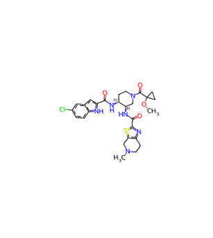 COC1(C(=O)N2CC[C@H](NC(=O)c3cc4cc(Cl)ccc4[nH]3)[C@H](NC(=O)c3nc4c(s3)CN(C)CC4)C2)CC1